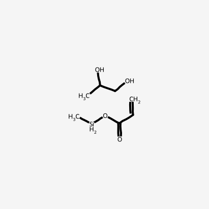 C=CC(=O)O[SiH2]C.CC(O)CO